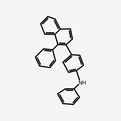 c1ccc(Nc2ccc(-c3ccc4ccccc4c3-c3ccccc3)cc2)cc1